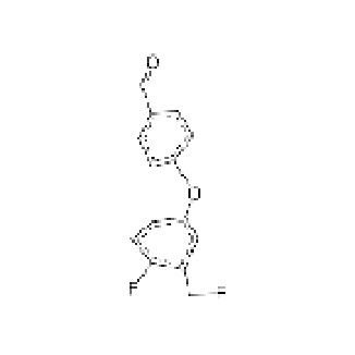 O=Cc1ccc(Oc2ccc(F)c(CF)c2)cc1